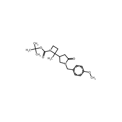 COc1ccc(CN2CC(C3(C)CCN3C(=O)OC(C)(C)C)CC2=O)cc1